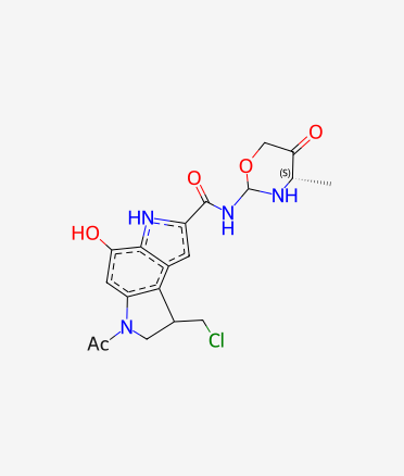 CC(=O)N1CC(CCl)c2c1cc(O)c1[nH]c(C(=O)NC3N[C@@H](C)C(=O)CO3)cc21